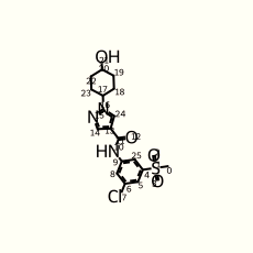 CS(=O)(=O)c1cc(Cl)cc(NC(=O)c2cnn(C3CCC(O)CC3)c2)c1